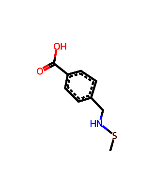 CSNCc1ccc(C(=O)O)cc1